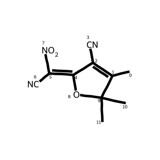 CC1=C(C#N)C(=C(C#N)[N+](=O)[O-])OC1(C)C